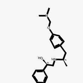 C[C@H](Cc1ccc(OCN(C)C)cc1)NC[C@H](O)c1ccccc1